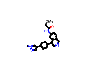 COCC(=O)Nc1ccc2cncc(-c3ccc(-c4cnn(C)c4)cc3)c2c1